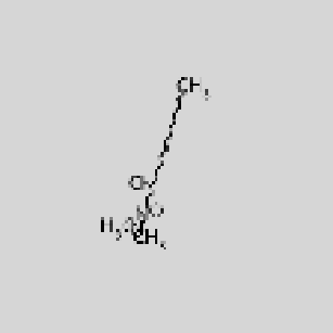 CCCCCCCCC=CCCCCC(Cl)CCC(=O)N=CN(C)C